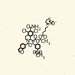 CC(OC(=O)CCCC[C@@H]1CCS[S+]1[O-])OC(=O)[C@@H](Cc1cccc(S(C)(=O)=O)c1)C1c2cc(Cl)c(C(N)=O)c(Cl)c2CCN1C(=O)c1ccc2ccoc2c1